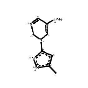 COC1=CN(c2cc(C)[nH]n2)CN=C1